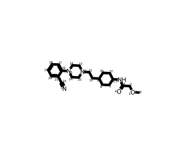 COCC(=O)NC1CCC(CCN2CCN(c3ccccc3C#N)CC2)CC1